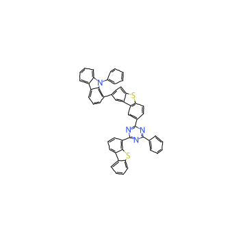 c1ccc(-c2nc(-c3ccc4sc5ccc(-c6cccc7c8ccccc8n(-c8ccccc8)c67)cc5c4c3)nc(-c3cccc4c3sc3ccccc34)n2)cc1